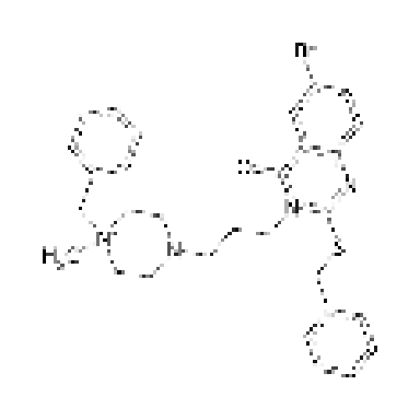 C[N+]1(Cc2ccccc2)CCN(CCCn2c(SCc3ccccc3)nc3ccc(Br)cc3c2=O)CC1